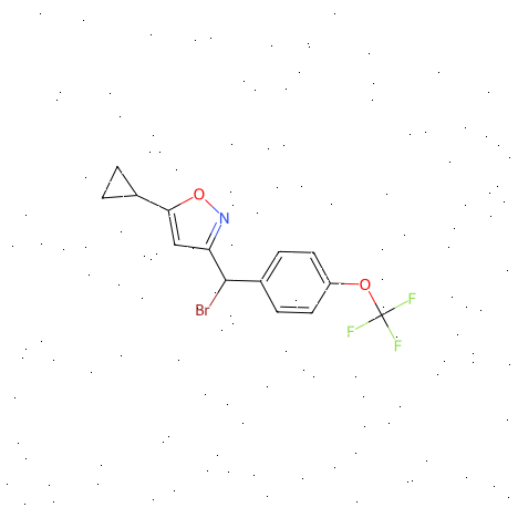 FC(F)(F)Oc1ccc(C(Br)c2cc(C3CC3)on2)cc1